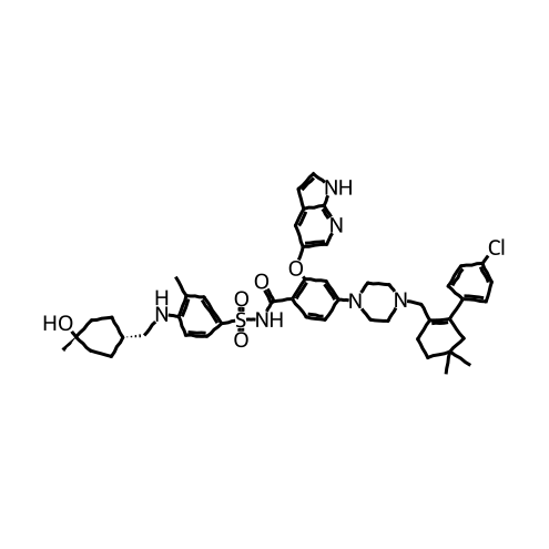 Cc1cc(S(=O)(=O)NC(=O)c2ccc(N3CCN(CC4=C(c5ccc(Cl)cc5)CC(C)(C)CC4)CC3)cc2Oc2cnc3[nH]ccc3c2)ccc1NC[C@H]1CC[C@@](C)(O)CC1